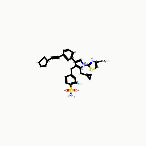 NS(=O)(=O)c1ccc(Cc2c(-c3cccc(C#CC4CCCC4)c3)cn(-c3nc(C(=O)O)cs3)c2CC2CC2)cc1F